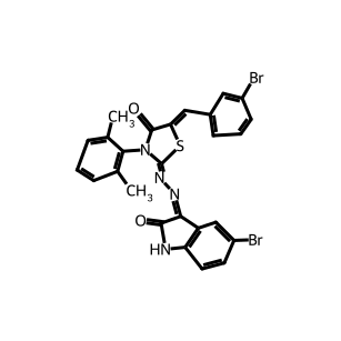 Cc1cccc(C)c1N1C(=O)C(=Cc2cccc(Br)c2)SC1=NN=C1C(=O)Nc2ccc(Br)cc21